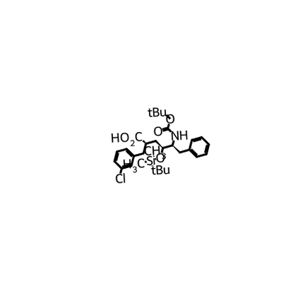 CC(C)(C)OC(=O)N[C@@H](Cc1ccccc1)[C@H](C[C@@H](Cc1cccc(Cl)c1)C(=O)O)O[Si](C)(C)C(C)(C)C